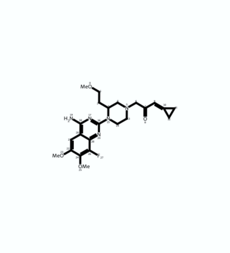 COCCC1CN(CC(=O)C=C2CC2)CCN1c1nc(N)c2cc(OC)c(OC)c(F)c2n1